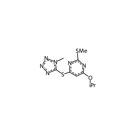 CSc1nc(OC(C)C)cc(Sc2nnnn2C)n1